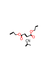 C=C(C)C#N.C=CCOC(=O)C=CC(=O)OCC=C